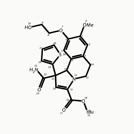 COc1cc2c(cc1OCCO)C1N(CC2)C(C(=O)OC(C)(C)C)=CC1(C(N)=O)c1cccs1